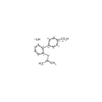 CN(C)Cc1ccccc1-c1ccc(C(=O)O)cc1.[LiH]